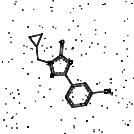 Cc1cccc(-c2nn(CC3CC3)c(=O)o2)c1